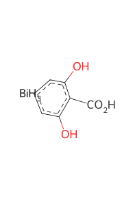 O=C(O)c1c(O)cccc1O.[BiH3]